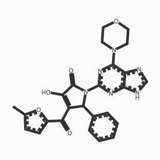 Cc1ccc(C(=O)C2=C(O)C(=O)N(c3nc(N4CCOCC4)c4nc[nH]c4n3)C2c2ccccc2)o1